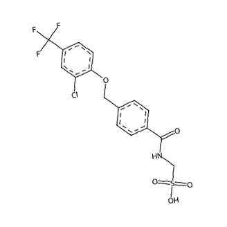 O=C(NCS(=O)(=O)O)c1ccc(COc2ccc(C(F)(F)F)cc2Cl)cc1